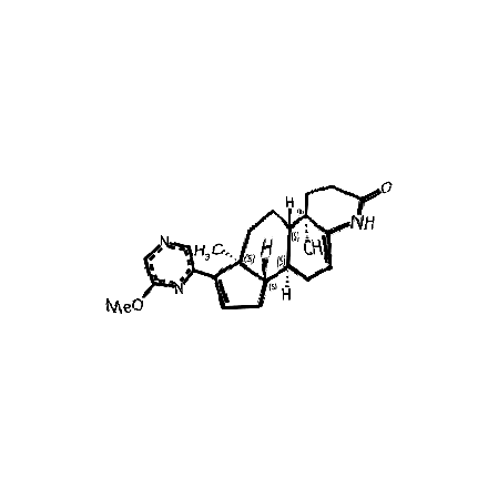 COc1cncc(C2=CC[C@H]3[C@@H]4CC=C5NC(=O)CC[C@]5(C)[C@H]4CC[C@]23C)n1